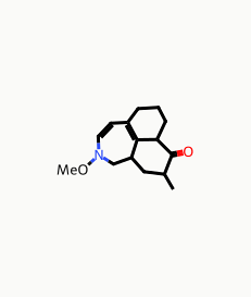 CON1C=CC2=C3C(CC(C)C(=O)C3CCC2)C1